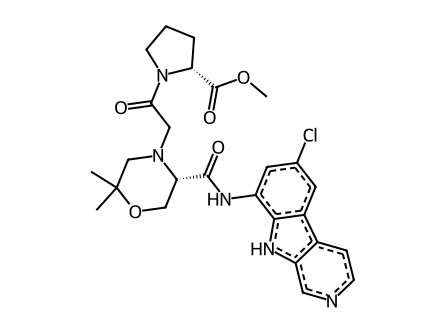 COC(=O)[C@H]1CCCN1C(=O)CN1CC(C)(C)OC[C@H]1C(=O)Nc1cc(Cl)cc2c1[nH]c1cnccc12